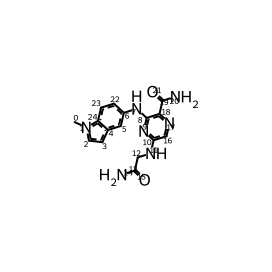 Cn1ccc2cc(Nc3nc(NCC(N)=O)cnc3C(N)=O)ccc21